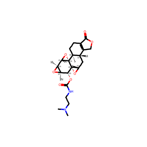 CC(C)[C@]12O[C@H]1[C@@H]1O[C@]13[C@]1(O[C@H]1C[C@H]1C4=C(CC[C@@]13C)C(=O)OC4)[C@@H]2OC(=O)NCCN(C)C